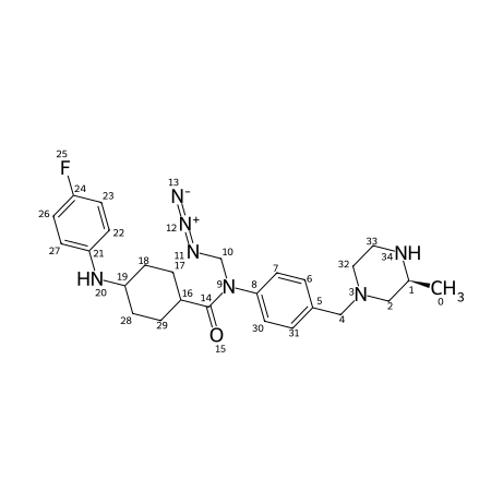 C[C@H]1CN(Cc2ccc(N(CN=[N+]=[N-])C(=O)C3CCC(Nc4ccc(F)cc4)CC3)cc2)CCN1